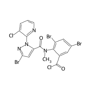 CN(C(=O)c1cc(Br)nn1-c1ncccc1Cl)c1c(Br)cc(Br)cc1C(=O)Cl